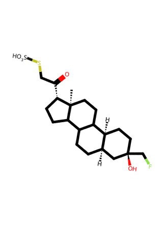 C[C@]12CCC3C(CC[C@@H]4C[C@@](O)(CF)CC[C@H]34)C1CC[C@@H]2C(=O)CSS(=O)(=O)O